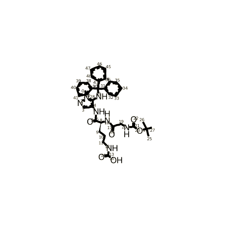 Cn1ncc(NC(=O)[C@H](CCCNC(=O)O)NC(=O)CNC(=O)OC(C)(C)C)c1NC(c1ccccc1)(c1ccccc1)c1ccccc1